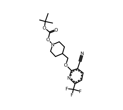 CC(C)(C)OC(=O)ON1CCC(COc2nc(C(F)(F)F)ccc2C#N)CC1